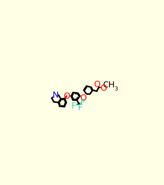 COC(=O)CC1=CC=CC(Oc2ccc(Oc3cccc4c3C=NCC4)cc2C(F)(F)F)C1